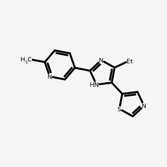 CCc1nc(-c2ccc(C)nc2)[nH]c1-c1cncs1